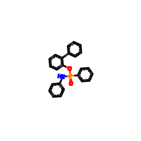 O=P(Nc1ccccc1)(Oc1ccccc1-c1ccccc1)c1ccccc1